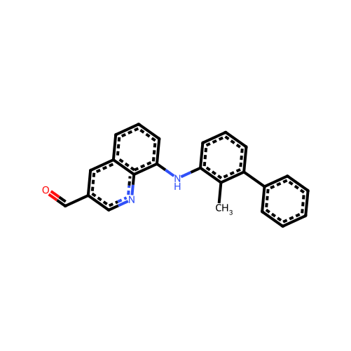 Cc1c(Nc2cccc3cc(C=O)cnc23)cccc1-c1ccccc1